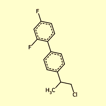 CC(CCl)c1ccc(-c2ccc(F)cc2F)cc1